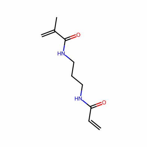 C=CC(=O)NCCCNC(=O)C(=C)C